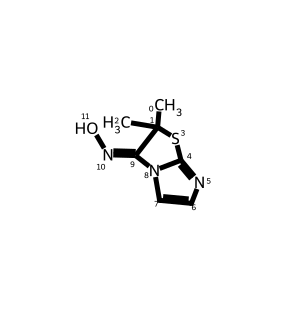 CC1(C)Sc2nccn2/C1=N/O